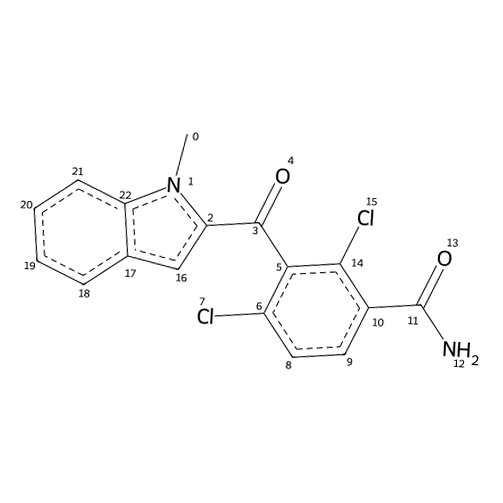 Cn1c(C(=O)c2c(Cl)ccc(C(N)=O)c2Cl)cc2ccccc21